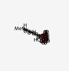 CC[C@@]1(OC(=O)[C@@H](NC(=O)[C@@H]2CCCN2C(=O)[C@H](CC(=O)O)NC(=O)CCOCCOCCOCCNC(=O)CCCC(=O)NCSC)C(C)C)C(=O)OCc2c1cc1n(c2=O)Cc2cc3cc4c(cc3nc2-1)OCO4